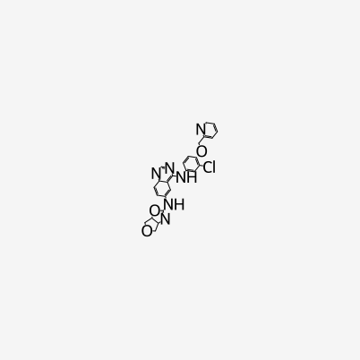 Clc1cc(Nc2ncnc3ccc(NC4=NC5COCC5O4)cc23)ccc1OCc1ccccn1